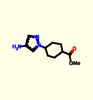 COC(=O)C1CCC(n2cc(N)cn2)CC1